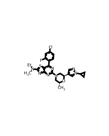 CCN(C)c1nc2nc(N3C[C@@H](C)O[C@H](c4cnn(C5CC5)c4)C3)nc(-c3ccc(Cl)cc3F)c2s1